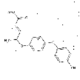 COC(=O)/C=C/C(C)Oc1ccc(Oc2ccc(C#N)cc2)cc1